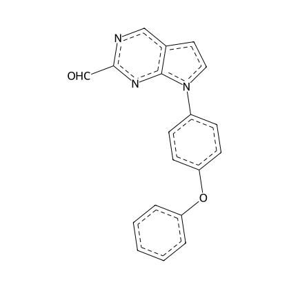 O=Cc1ncc2ccn(-c3ccc(Oc4ccccc4)cc3)c2n1